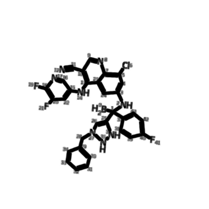 BC(Nc1cc(Cl)c2ncc(C#N)c(Nc3cnc(F)c(F)c3)c2c1)(C1=CN(Cc2ccccc2)NN1)c1ccc(F)cc1